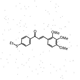 CCSc1ccc(C(=O)C=Cc2ccc(OC)c(OC)c2OC)cc1